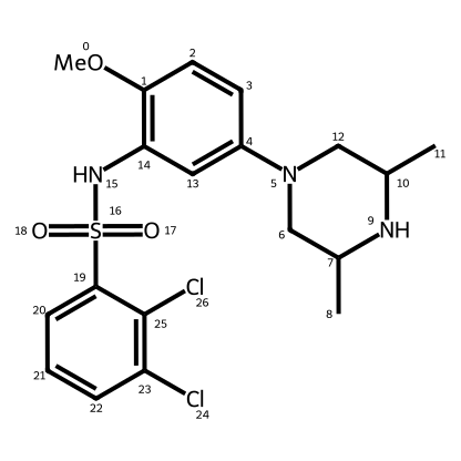 COc1ccc(N2CC(C)NC(C)C2)cc1NS(=O)(=O)c1cccc(Cl)c1Cl